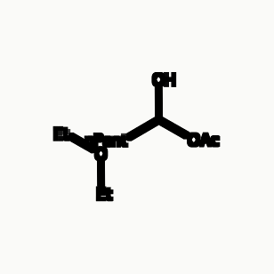 CCCCCC(O)OC(C)=O.CCOCC